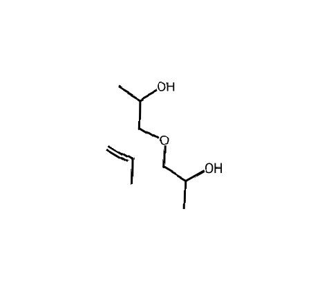 C=CC.CC(O)COCC(C)O